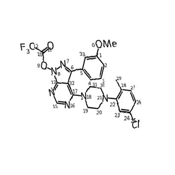 COc1cccc(-c2nn(OC(=O)C(F)(F)F)c3ncnc(N4CCN(c5cc(Cl)ccc5C)CC4)c23)c1